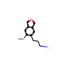 COc1cc2cocc2cc1CCCN